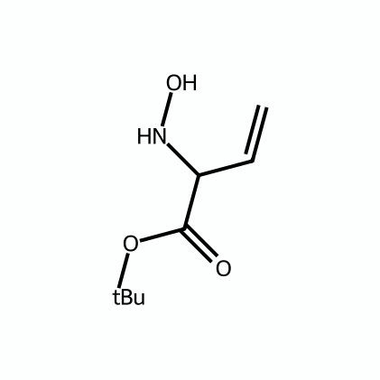 C=CC(NO)C(=O)OC(C)(C)C